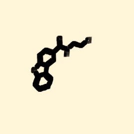 O=C(NCCCl)c1ccc2oc3ccccc3c2c1